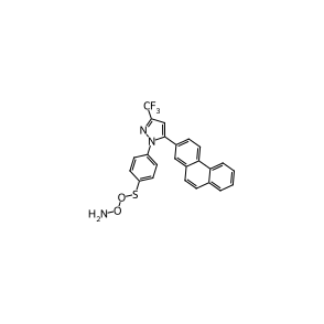 NOOSc1ccc(-n2nc(C(F)(F)F)cc2-c2ccc3c(ccc4ccccc43)c2)cc1